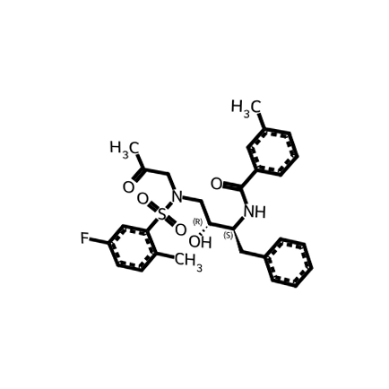 CC(=O)CN(C[C@@H](O)[C@H](Cc1ccccc1)NC(=O)c1cccc(C)c1)S(=O)(=O)c1cc(F)ccc1C